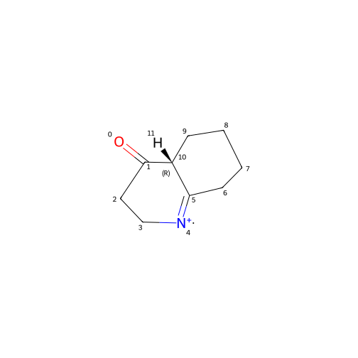 O=C1CC[N+]=C2CCCC[C@@H]12